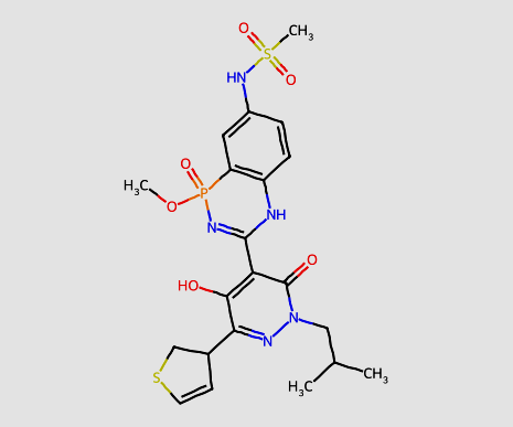 COP1(=O)N=C(c2c(O)c(C3C=CSC3)nn(CC(C)C)c2=O)Nc2ccc(NS(C)(=O)=O)cc21